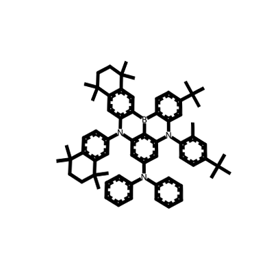 Cc1cc(C(C)(C)C)ccc1N1c2cc(C(C)(C)C)ccc2B2c3cc4c(cc3N(c3ccc5c(c3)C(C)(C)CCC5(C)C)c3cc(N(c5ccccc5)c5ccccc5)cc1c32)C(C)(C)CCC4(C)C